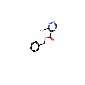 Cc1nncnc1C(=O)OCc1ccccc1